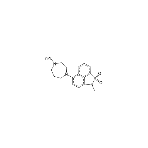 CCCN1CCCN(c2ccc3c4c(cccc24)S(=O)(=O)N3C)CC1